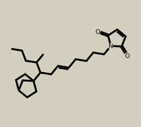 CCCC(C)C(CC=CCCCCN1C(=O)C=CC1=O)C12CCC(CC1)C2